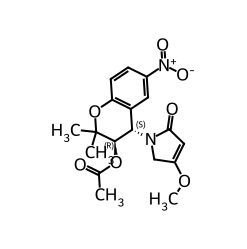 COC1=CC(=O)N([C@H]2c3cc([N+](=O)[O-])ccc3OC(C)(C)[C@@H]2OC(C)=O)C1